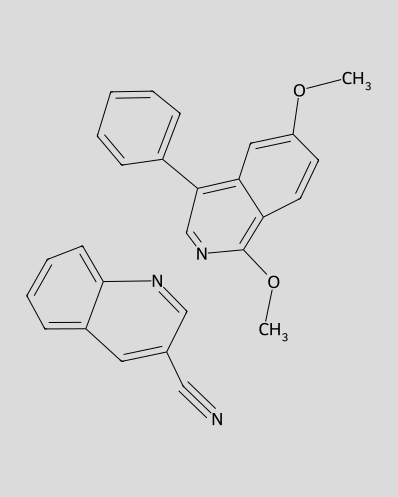 COc1ccc2c(OC)ncc(-c3ccccc3)c2c1.N#Cc1cnc2ccccc2c1